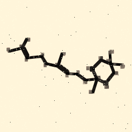 CC(C)=CCC/C(C)=C/CCC1(C)OCC(C)(C)CO1